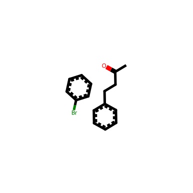 Brc1ccccc1.CC(=O)CCc1ccccc1